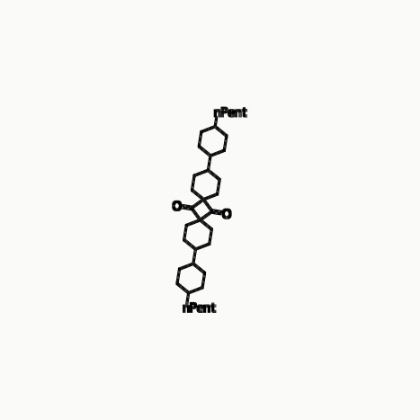 CCCCCC1CCC(C2CCC3(CC2)C(=O)C2(CCC(C4CCC(CCCCC)CC4)CC2)C3=O)CC1